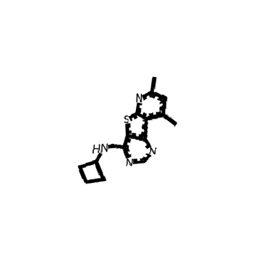 Cc1cc(C)c2c(n1)sc1c(NC3CCC3)ncnc12